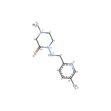 CN1CCN(NCc2ccc(C(F)(F)F)cn2)C(=O)C1